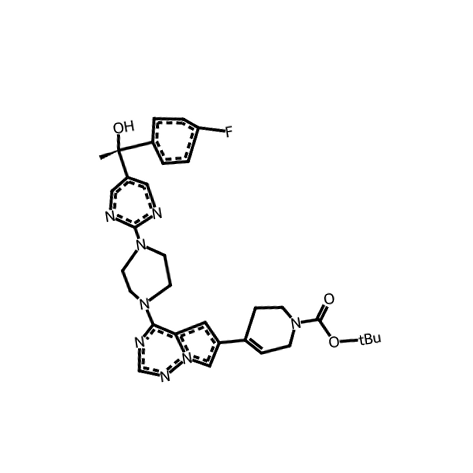 CC(C)(C)OC(=O)N1CC=C(c2cc3c(N4CCN(c5ncc([C@](C)(O)c6ccc(F)cc6)cn5)CC4)ncnn3c2)CC1